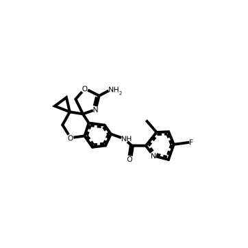 Cc1cc(F)cnc1C(=O)Nc1ccc2c(c1)C1(COC(N)=N1)C1(CC1)CO2